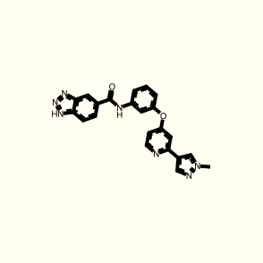 Cn1cc(-c2cc(Oc3cccc(NC(=O)c4ccc5[nH]nnc5c4)c3)ccn2)cn1